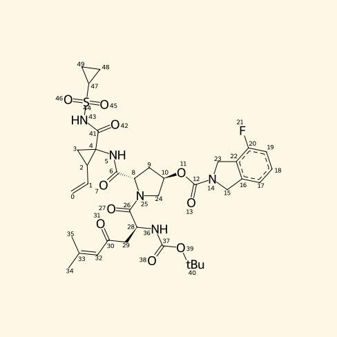 C=CC1CC1(NC(=O)[C@@H]1C[C@@H](OC(=O)N2Cc3cccc(F)c3C2)CN1C(=O)[C@H](CC(=O)C=C(C)C)NC(=O)OC(C)(C)C)C(=O)NS(=O)(=O)C1CC1